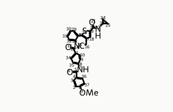 COc1ccc(C(=O)Nc2ccc(C(=O)N3CCc4cc(C(=O)NC5CC5)sc4-c4ccccc43)cc2)cc1